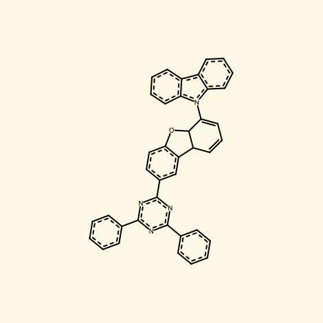 C1=CC2c3cc(-c4nc(-c5ccccc5)nc(-c5ccccc5)n4)ccc3OC2C(n2c3ccccc3c3ccccc32)=C1